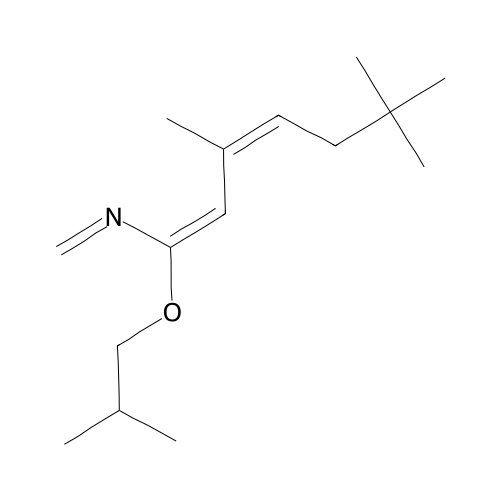 C=N/C(=C\C(C)=C/CC(C)(C)C)OCC(C)C